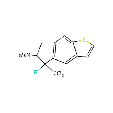 CNC(C)C(F)(c1ccc2sccc2c1)C(Cl)(Cl)Cl